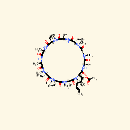 C/C=C/C[C@@H](C)[C@@H](OC(=O)C(F)(F)F)[C@H]1C(=O)N[C@@H](CC)C(=O)N(C)CC(=O)N(C)[C@@H](CC(C)C)C(=O)N[C@H](C(C)C)C(=O)N(C)[C@H](CC(C)C)C(=O)N[C@H](C)C(=O)NC(C)C(=O)N(C)[C@@H](CC(C)C)C(=O)N(C)[C@@H](CC(C)C)C(=O)N(C)[C@@H](C(C)C)C(=O)N1C